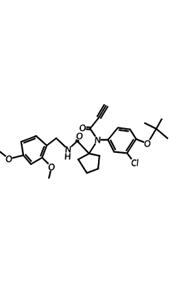 C#CC(=O)N(c1ccc(OC(C)(C)C)c(Cl)c1)C1(C(=O)NCc2ccc(OC)cc2OC)CCCC1